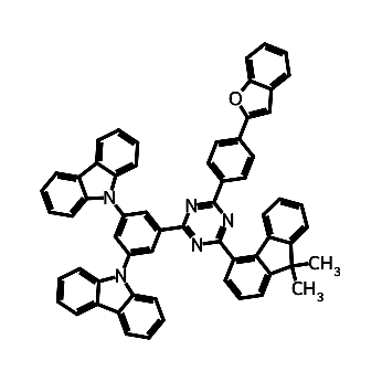 CC1(C)c2ccccc2-c2c(-c3nc(-c4ccc(-c5cc6ccccc6o5)cc4)nc(-c4cc(-n5c6ccccc6c6ccccc65)cc(-n5c6ccccc6c6ccccc65)c4)n3)cccc21